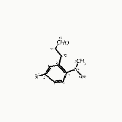 CCN(C)c1ccc(Br)cc1CCC=O